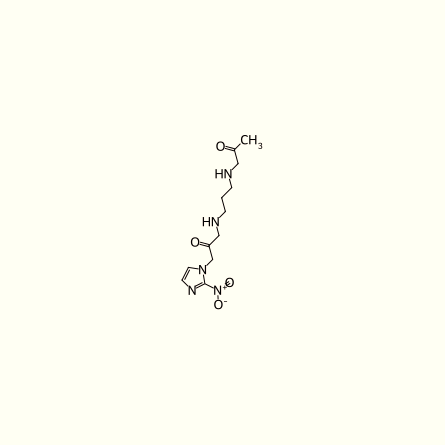 CC(=O)CNCCCNCC(=O)Cn1ccnc1[N+](=O)[O-]